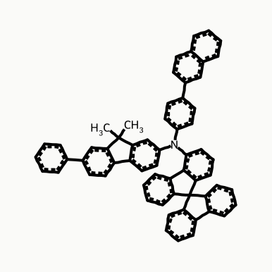 CC1(C)c2cc(-c3ccccc3)ccc2-c2ccc(N(c3ccc(-c4ccc5ccccc5c4)cc3)c3cccc4c3-c3ccccc3C43c4ccccc4-c4ccccc43)cc21